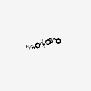 COc1ccc(NC(=O)N2CC3CC(CN(Cc4ccccc4)C3)C2)cc1